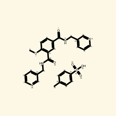 COc1ccc(C(=O)NCc2cccnc2)cc1C(=O)NCc1cccnc1.Cc1ccc(S(=O)(=O)O)cc1